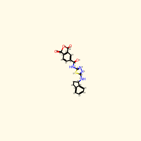 O=C(Nc1nnc(NC2CCc3ccccc32)s1)c1ccc2c(c1)C(=O)OC2=O